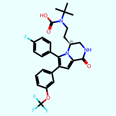 CC(C)(C)N(CC[C@H]1CNC(=O)c2cc(-c3cccc(OC(F)(F)F)c3)c(-c3ccc(F)cc3)n21)C(=O)O